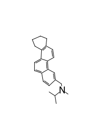 CC(C)N(C)Cc1ccc2ccc3c4c(ccc3c2c1)CCCC4